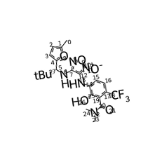 Cc1ccc([C@H](Nc2no[n+]([O-])c2Nc2ccc(C(F)(F)F)c(C(=O)N(C)C)c2O)C(C)(C)C)o1